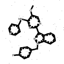 COc1cnc(-c2nn(Cc3ccc(F)cc3)c3ccccc23)nc1Nc1ccncc1